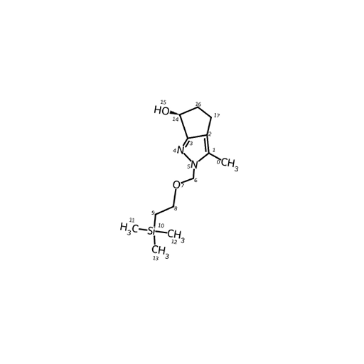 Cc1c2c(nn1COCC[Si](C)(C)C)[C@@H](O)CC2